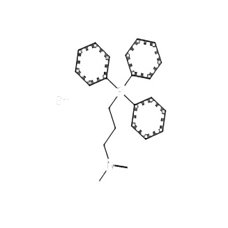 CN(C)CCC[P+](c1ccccc1)(c1ccccc1)c1ccccc1.[Br-]